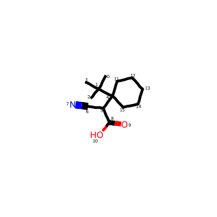 CC(C)(C)C1(C(C#N)C(=O)O)CCCCC1